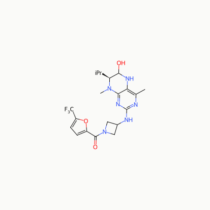 Cc1nc(NC2CN(C(=O)c3ccc(C(F)(F)F)o3)C2)nc2c1NC(O)[C@H](C(C)C)N2C